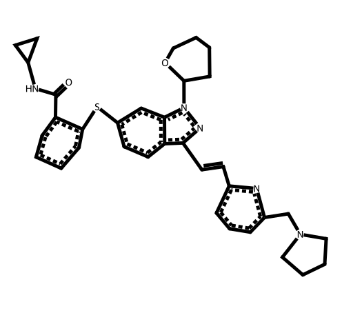 O=C(NC1CC1)c1ccccc1Sc1ccc2c(/C=C/c3cccc(CN4CCCC4)n3)nn(C3CCCCO3)c2c1